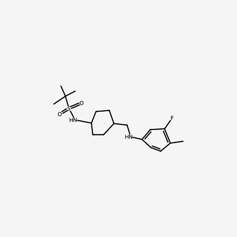 Cc1ccc(NCC2CCC(NS(=O)(=O)C(C)(C)C)CC2)cc1F